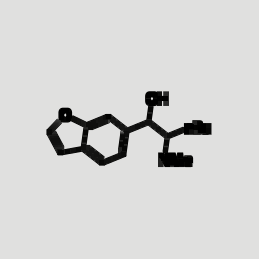 CCCCC(NC)C(O)c1ccc2ccoc2c1